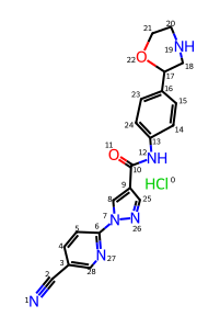 Cl.N#Cc1ccc(-n2cc(C(=O)Nc3ccc(C4CNCCO4)cc3)cn2)nc1